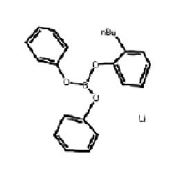 CCCCc1ccccc1OB(Oc1ccccc1)Oc1ccccc1.[Li]